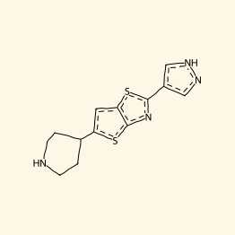 c1n[nH]cc1-c1nc2sc(C3CCNCC3)cc2s1